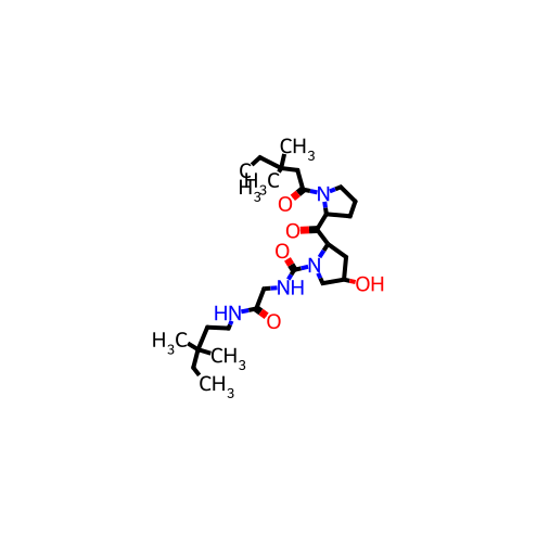 CCC(C)(C)CCNC(=O)CNC(=O)N1CC(O)CC1C(=O)C1CCCN1C(=O)CC(C)(C)CC